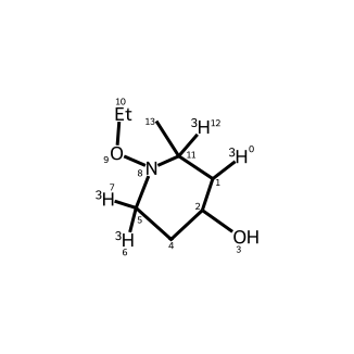 [3H]C1C(O)CC([3H])([3H])N(OCC)C1([3H])C